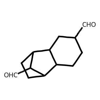 O=CC1CCC2C3CCC(C3C=O)C2C1